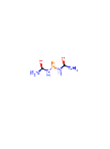 NC(=O)NPNC(N)=O